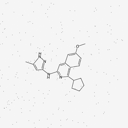 COc1ccc2c(C3CCCC3)nc(Nc3cc(C)[nH]n3)cc2c1